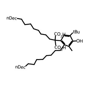 CCCCCCCCCCCCCCCCCCc1c(C(CCCCCCCCCCCCCCCCCC)(C(=O)O)C(=O)O)cc(C(C)(C)C)c(O)c1C